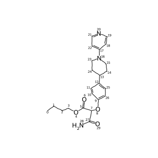 CCCCOC(=O)C(Oc1ccc(C2CCN(c3ccncc3)CC2)cc1)C(N)=O